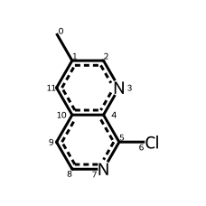 Cc1cnc2c(Cl)nccc2c1